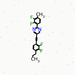 CCCc1ccc(C#Cc2cnc(-c3ccc(C)c(F)c3F)nc2)c(F)c1F